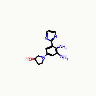 Nc1cc(N2CCC(O)C2)cc(-c2ncccn2)c1N